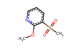 COc1ncccc1S(C)(=O)=O